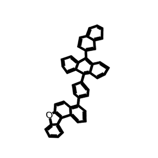 c1ccc2cc(-c3c4ccccc4c(-c4ccc(-c5cccc6c5ccc5oc7ccccc7c56)cc4)c4ccccc34)ccc2c1